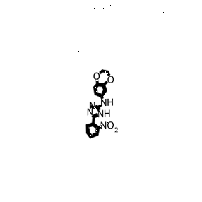 O=[N+]([O-])c1ccccc1-c1nnc(Nc2ccc3c(c2)OCCO3)[nH]1